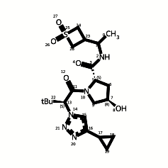 CC(NC(=O)[C@@H]1C[C@@H](O)CN1C(=O)[C@@H](n1cc(C2CC2)nn1)C(C)(C)C)C1CS(=O)(=O)C1